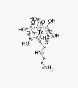 NCCNCC[NH][Tc]([CH2]C(=O)O)([CH2]C(=O)O)([CH2]C(=O)O)([CH2]C(=O)O)[CH2]C(=O)O